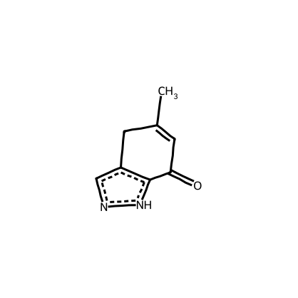 CC1=CC(=O)c2[nH]ncc2C1